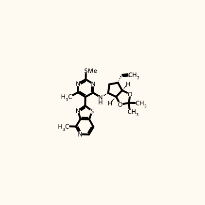 C=C[C@H]1C[C@@H](Nc2nc(SC)nc(C)c2-c2nc3c(C)nccc3s2)[C@@H]2OC(C)(C)O[C@@H]21